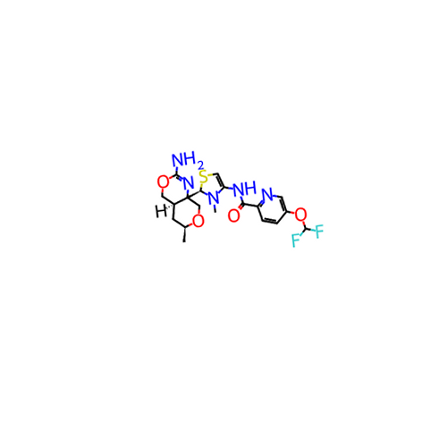 C[C@H]1C[C@H]2COC(N)=NC2([C@H]2SC=C(NC(=O)c3ccc(OC(F)F)cn3)N2C)CO1